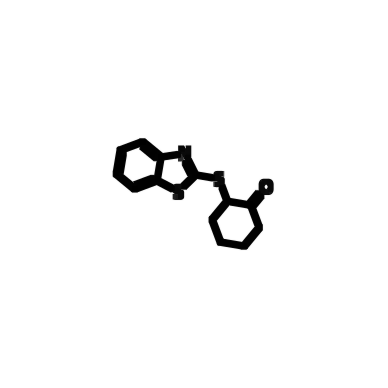 O=C1CCCCC1Sc1nc2ccccc2s1